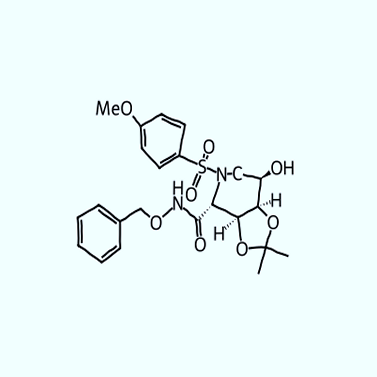 COc1ccc(S(=O)(=O)N2C[C@@H](O)[C@H]3OC(C)(C)O[C@H]3[C@@H]2C(=O)NOCc2ccccc2)cc1